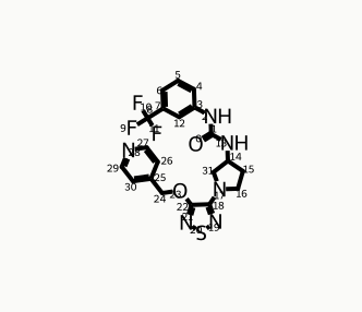 O=C(Nc1cccc(C(F)(F)F)c1)NC1CCN(c2nsnc2OCc2ccncc2)C1